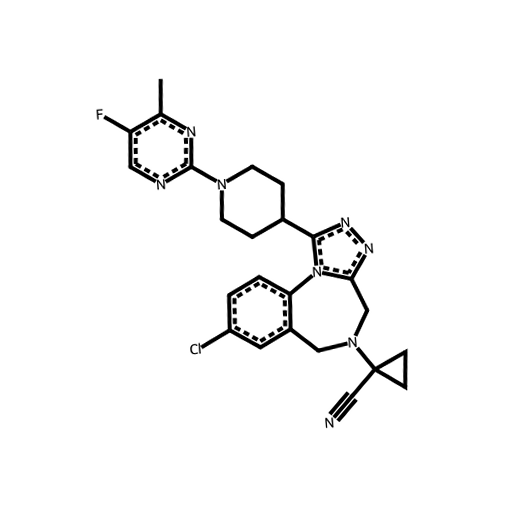 Cc1nc(N2CCC(c3nnc4n3-c3ccc(Cl)cc3CN(C3(C#N)CC3)C4)CC2)ncc1F